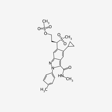 CNC(=O)c1c2cc(C3CC3)c([C@@H](CCOS(C)(=O)=O)S(C)(=O)=O)cc2nn1-c1ccc(C)cc1